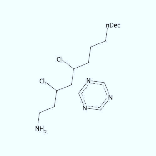 CCCCCCCCCCCCCC(Cl)CC(Cl)CCN.c1ncncn1